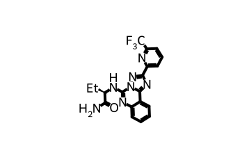 CC[C@@H](Nc1nc2ccccc2c2nc(-c3cccc(C(F)(F)F)n3)nn12)C(N)=O